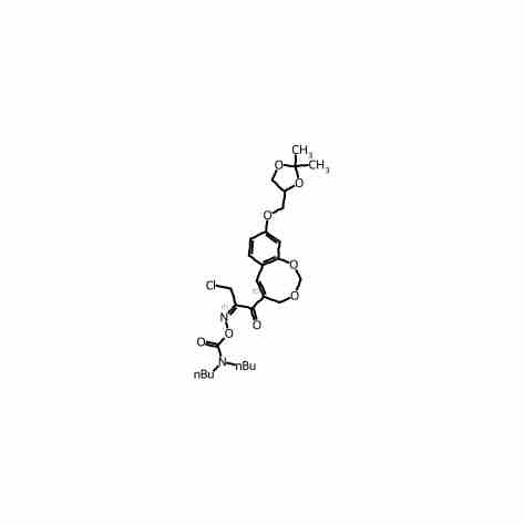 CCCCN(CCCC)C(=O)O/N=C(/CCl)C(=O)/C1=C/c2ccc(OCC3COC(C)(C)O3)cc2OCOC1